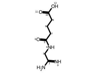 N=C(N)CNC(=O)CCCC(=O)O